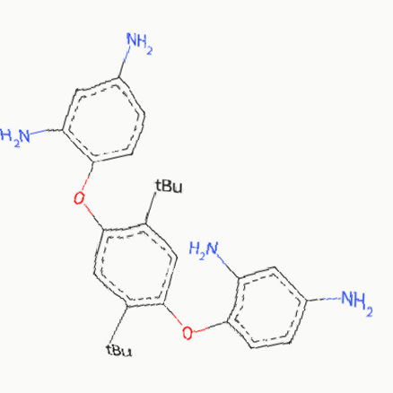 CC(C)(C)c1cc(Oc2ccc(N)cc2N)c(C(C)(C)C)cc1Oc1ccc(N)cc1N